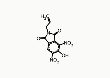 C=CCN1C(=O)c2cc([N+](=O)[O-])c(O)c([N+](=O)[O-])c2C1=O